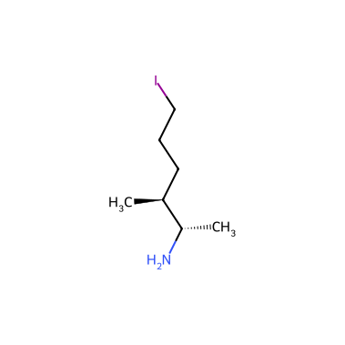 C[C@H](N)[C@@H](C)CCCI